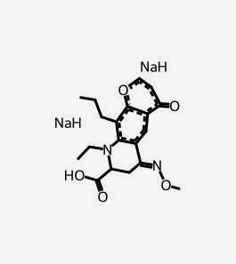 CCCc1c2c(cc3c(=O)ccoc13)C(=NOC)CC(C(=O)O)N2CC.[NaH].[NaH]